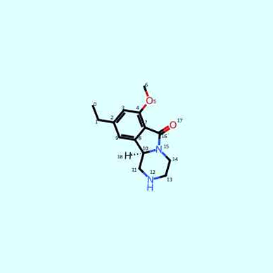 CCc1cc(OC)c2c(c1)[C@@H]1CNCCN1C2=O